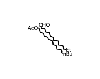 CC/C=C/CCCCCCCCCC=O.CCCC/C=C/CC/C=C/CCCCCCOC(C)=O